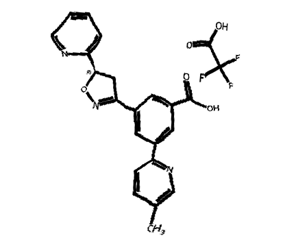 Cc1ccc(-c2cc(C(=O)O)cc(C3=NO[C@@H](c4ccccn4)C3)c2)nc1.O=C(O)C(F)(F)F